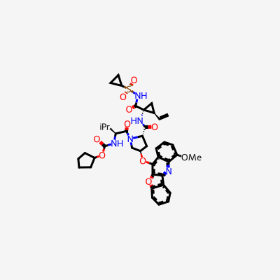 C=C[C@@H]1C[C@]1(NC(=O)[C@@H]1C[C@@H](Oc2c3cccc(OC)c3nc3c2oc2ccccc23)CN1C(=O)[C@@H](NC(=O)OC1CCCC1)C(C)C)C(=O)NS(=O)(=O)C1CC1